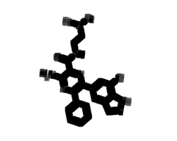 CCN(CC)CCNC(=O)c1nc(-c2cc(Cl)c3[nH]ncc3c2)c(-c2ccccc2)nc1N